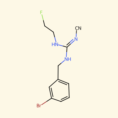 N#CN=C(NCCF)NCc1cccc(Br)c1